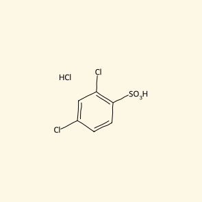 Cl.O=S(=O)(O)c1ccc(Cl)cc1Cl